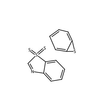 S=S1(=S)C=Nc2ccccc21.c1ccc2c(c1)S2